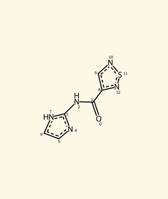 O=C(Nc1ncc[nH]1)c1cnsn1